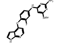 CNc1cc(Nc2ccc(Oc3ccnc4[nH]ccc34)c(F)c2)nc(N)n1